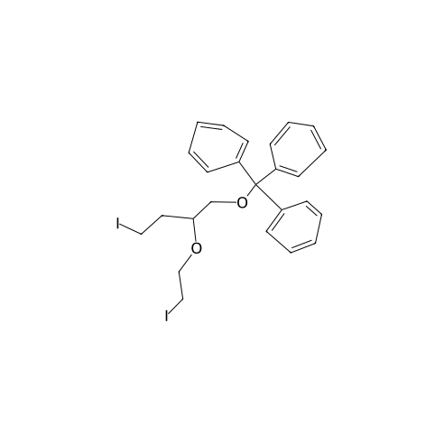 ICCOC(CCI)COC(c1ccccc1)(c1ccccc1)c1ccccc1